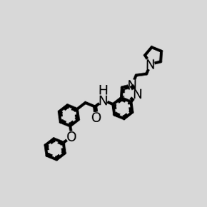 O=C(Cc1cccc(Oc2ccccc2)c1)Nc1cccc2nn(CCN3CCCC3)cc12